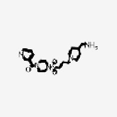 NCC1CCN(CCCS(=O)(=O)N2CCN(C(=O)c3cccnc3)CC2)CC1